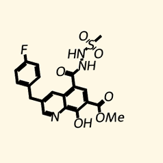 COC(=O)c1cc(C(=O)NNS(C)(=O)=O)c2cc(Cc3ccc(F)cc3)cnc2c1O